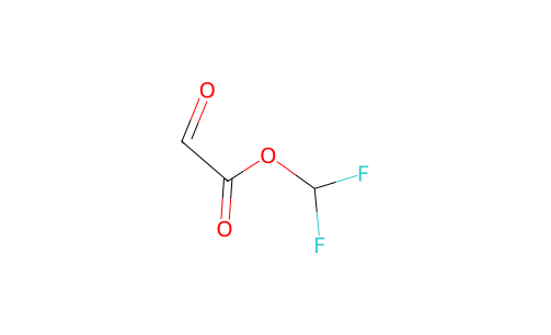 O=CC(=O)OC(F)F